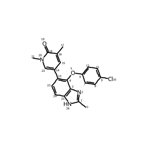 Cc1nc2c(Oc3ccc(Cl)cc3)c(-c3cc(C)c(=O)n(C)c3)ccc2[nH]1